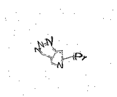 CC(C)c1cc2nnncc2cn1